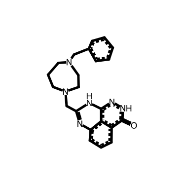 O=c1[nH]nc2c3c(cccc13)N=C(CN1CCCN(Cc3ccccc3)CC1)N2